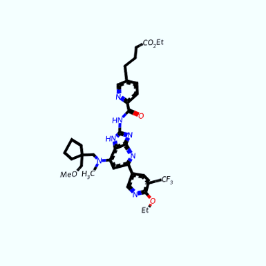 CCOC(=O)CCCc1ccc(C(=O)Nc2nc3nc(-c4cnc(OCC)c(C(F)(F)F)c4)cc(N(C)CC4(COC)CCCC4)c3[nH]2)nc1